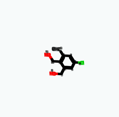 O=Cc1cc(Cl)cc(CO)c1CO